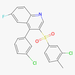 Cc1ccc(S(=O)(=O)c2cnc3ccc(F)cc3c2-c2cccc(Cl)c2)cc1Cl